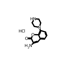 Cl.Nc1cc2cccc(N3CCNCC3)c2oc1=O